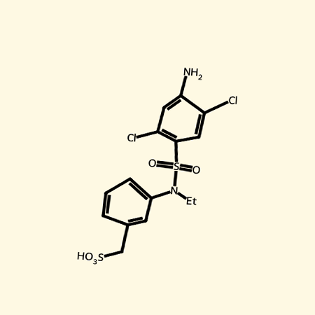 CCN(c1cccc(CS(=O)(=O)O)c1)S(=O)(=O)c1cc(Cl)c(N)cc1Cl